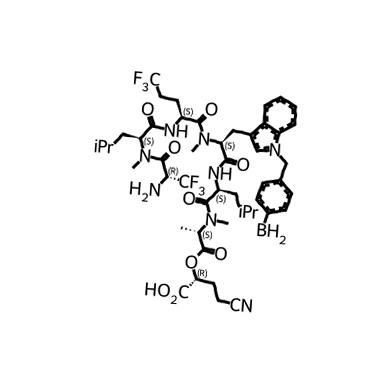 Bc1ccc(Cn2cc(C[C@@H](C(=O)N[C@@H](CC(C)C)C(=O)N(C)[C@@H](C)C(=O)O[C@H](CCC#N)C(=O)O)N(C)C(=O)[C@H](CCC(F)(F)F)NC(=O)[C@H](CC(C)C)N(C)C(=O)[C@@H](N)C(F)(F)F)c3ccccc32)cc1